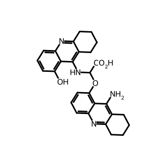 Nc1c2c(nc3cccc(OC(Nc4c5c(nc6cccc(O)c46)CCCC5)C(=O)O)c13)CCCC2